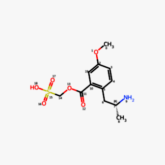 COc1ccc(C[C@@H](C)N)c(C(=O)OCS(=O)(=O)O)c1